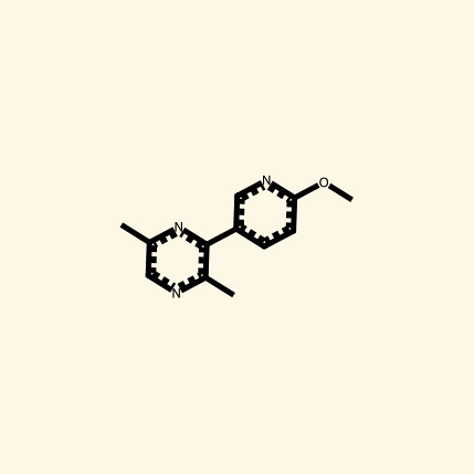 COc1ccc(-c2nc(C)cnc2C)cn1